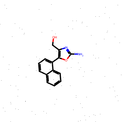 Nc1nc(CO)c(-c2cccc3ccccc23)o1